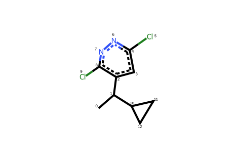 CC(c1cc(Cl)nnc1Cl)C1CC1